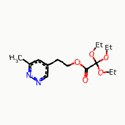 CCOC(OCC)(OCC)C(=O)OCCc1cnnc(C)c1